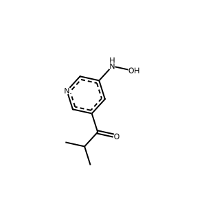 CC(C)C(=O)c1cncc(NO)c1